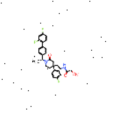 C[C@@H](c1ccc(-c2ccc(F)cc2F)cc1)N1CCC(CCNC(=O)CO)(c2ccc(F)cc2)CC1=O